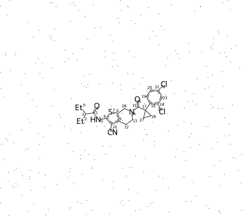 CCC(CC)C(=O)Nc1sc2c(c1C#N)CCN(C(=O)C1(c3ccc(Cl)cc3Cl)CC1)C2